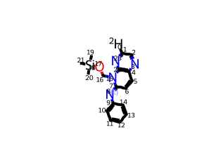 [2H]c1cnc2cc/c(=N\c3ccccc3)n(CO[Si](C)(C)C)c2n1